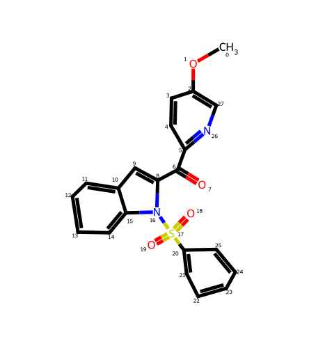 COc1ccc(C(=O)c2cc3ccccc3n2S(=O)(=O)c2ccccc2)nc1